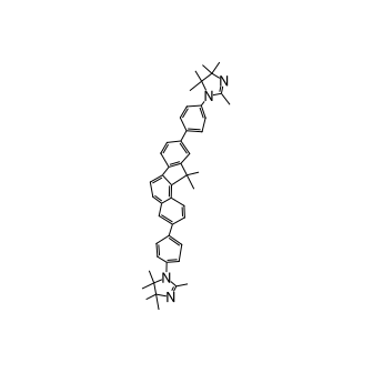 CC1=NC(C)(C)C(C)(C)N1c1ccc(-c2ccc3c(c2)C(C)(C)c2c-3ccc3cc(-c4ccc(N5C(C)=NC(C)(C)C5(C)C)cc4)ccc23)cc1